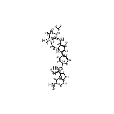 C=C(CNC)N(C)[C@@H](CC(C)C)/C1=N/C/C=C\c2cc(C3=C=CCC(CN/C(=N\C)C4CCC(CC)N4CCNC)C=C3)cc(C)c2CN1